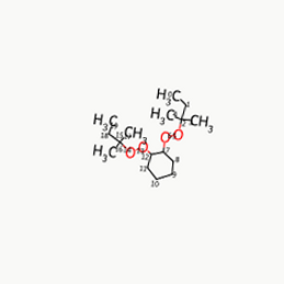 CCC(C)(C)OOC1CCCCC1OOC(C)(C)CC